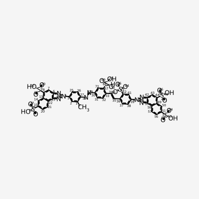 Cc1cc(-n2n3c4cc(S(=O)(=O)O)c5cc(S(=O)(=O)O)ccc5c4n23)ccc1N=Nc1ccc(C=Cc2ccc(-n3n4c5cc(S(=O)(=O)O)c6cc(S(=O)(=O)O)ccc6c5n34)cc2S(=O)(=O)O)c(S(=O)(=O)O)c1